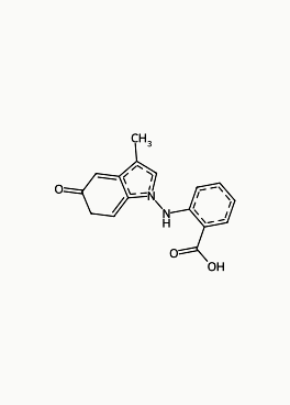 Cc1cn(Nc2ccccc2C(=O)O)c2c1=CC(=O)CC=2